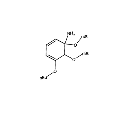 CCCCOC1=CC=CC(N)(OCCCC)C1OCCCC